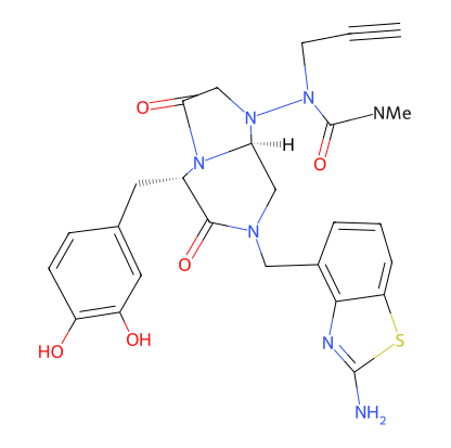 C#CCN(C(=O)NC)N1CC(=O)N2[C@@H](Cc3ccc(O)c(O)c3)C(=O)N(Cc3cccc4sc(N)nc34)C[C@@H]21